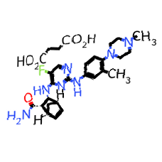 Cc1cc(Nc2ncc(F)c(N[C@H]3[C@@H](C(N)=O)[C@@H]4C=C[C@H]3C4)n2)ccc1N1CCN(C)CC1.O=C(O)CCC(=O)O